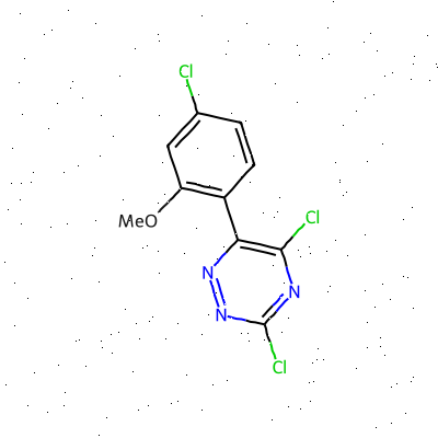 COc1cc(Cl)ccc1-c1nnc(Cl)nc1Cl